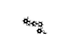 CCOc1ccccc1OC1CCCN(c2ncc(N(C=O)Cc3ccccc3F)cn2)C1